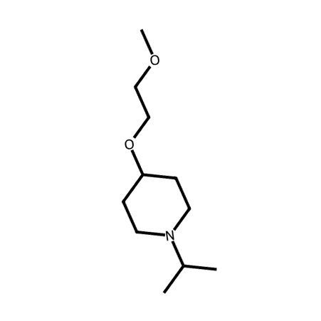 COCCOC1CCN(C(C)C)CC1